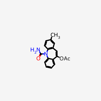 CC(=O)OC1=Cc2cc(C)ccc2N(C(N)=O)c2ccccc21